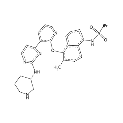 Cc1ccc2c(NS(=O)(=O)C(C)C)cccc2c1Oc1ncccc1-c1ccnc(N[C@H]2CCCNC2)n1